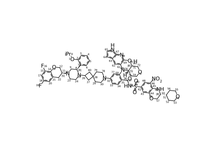 CC(C)Oc1ccccc1[C@@H]1CN([C@@H]2COc3c(F)cc(F)cc3C2)CCN1C1CC2(CCN(c3ccc(C(=O)NS(=O)(=O)c4cc5c(c([N+](=O)[O-])c4)N[C@H](C4CCOCC4)CO5)c(N4c5cc6cc[nH]c6nc5O[C@H]5COCC[C@@H]54)c3)CC2)C1